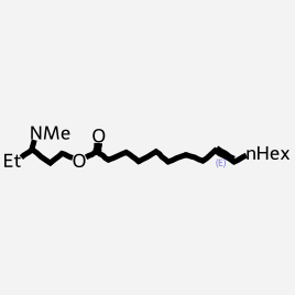 CCCCCC/C=C/CCCCCCCC(=O)OCCC(CC)NC